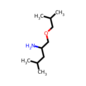 CC(C)COCC(N)CC(C)C